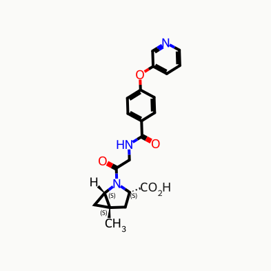 C[C@@]12C[C@@H]1N(C(=O)CNC(=O)c1ccc(Oc3cccnc3)cc1)[C@H](C(=O)O)C2